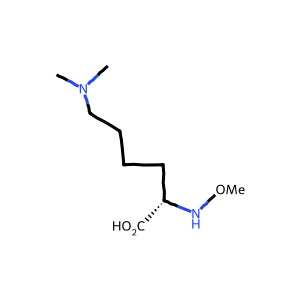 CON[C@@H](CCCCN(C)C)C(=O)O